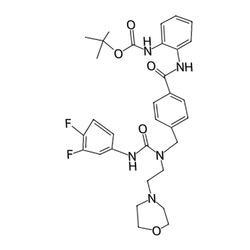 CC(C)(C)OC(=O)Nc1ccccc1NC(=O)c1ccc(CN(CCN2CCOCC2)C(=O)Nc2ccc(F)c(F)c2)cc1